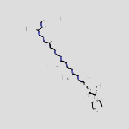 CC(=C/C=C/C(C)=C/C=C/C=C(C)/C=C/C=C(C)/C=C/C(=O)ONC(=O)C(C)N1CCOCC1)/C=C/C(=O)O